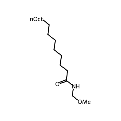 CCCCCCCCCCCCCCCC(=O)NCOC